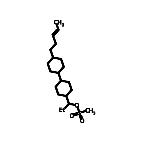 CC=CCCC1CCC(C2CCC(C(CC)OS(C)(=O)=O)CC2)CC1